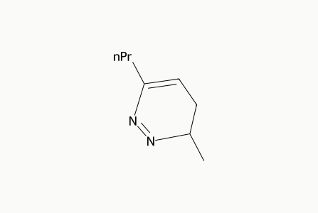 CCCC1=CCC(C)N=N1